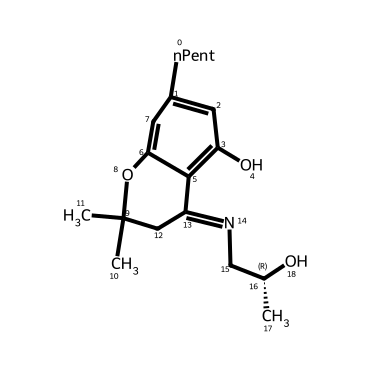 CCCCCc1cc(O)c2c(c1)OC(C)(C)CC2=NC[C@@H](C)O